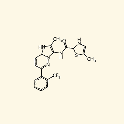 CC1=CNC(C(=O)NC2=C(C)NC3C=CC(c4ccccc4C(F)(F)F)=NN23)S1